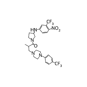 CC(CN1CCN(c2ccc(C(F)(F)F)cc2)CC1)C(=O)N1CC[C@@H](Nc2ccc([N+](=O)[O-])c(C(F)(F)F)c2)C1